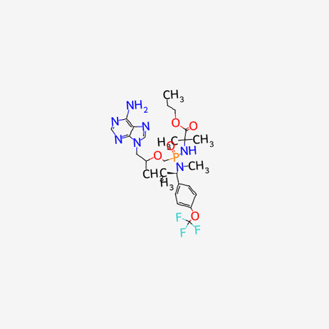 CCCOC(=O)C(C)(C)NP(=O)(COC(C)Cn1cnc2c(N)ncnc21)N(C)[C@H](C)c1ccc(OC(F)(F)F)cc1